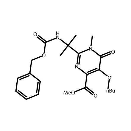 CCCCOc1c(C(=O)OC)nc(C(C)(C)NC(=O)OCc2ccccc2)n(C)c1=O